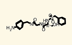 Nc1ccc(CNC(=O)CNC(=O)[C@@H](CO)NS(=O)(=O)Cc2ccccc2)cc1